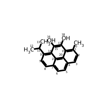 Cc1ccc2ccc3ccc(C(C)C)c4c(O)c(O)c1c2c34